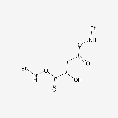 CCNOC(=O)CC(O)C(=O)ONCC